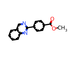 COC(=O)c1ccc(-c2ncc3ccccc3n2)cc1